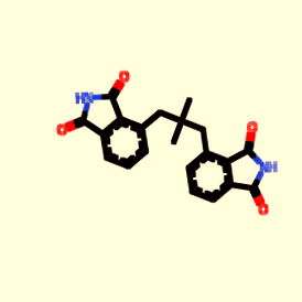 CC(C)(Cc1cccc2c1C(=O)NC2=O)Cc1cccc2c1C(=O)NC2=O